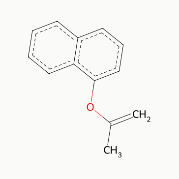 C=C(C)Oc1cccc2ccccc12